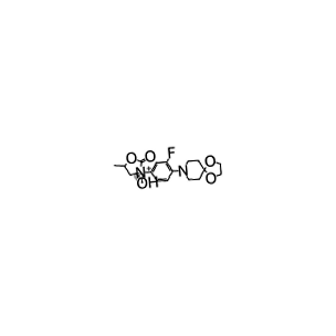 CC1C[N@@+](O)(c2ccc(N3CCC4(CC3)OCCO4)c(F)c2)C(=O)O1